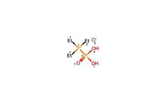 CC[P+](CC)(CC)P(=O)(O)O.[Cl-]